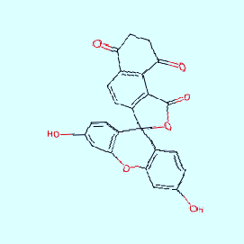 O=C1CCC(=O)c2c1ccc1c2C(=O)OC12c1ccc(O)cc1Oc1cc(O)ccc12